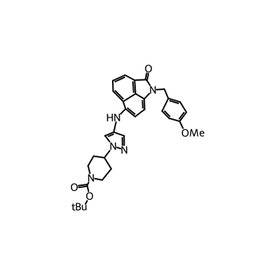 COc1ccc(CN2C(=O)c3cccc4c(Nc5cnn(C6CCN(C(=O)OC(C)(C)C)CC6)c5)ccc2c34)cc1